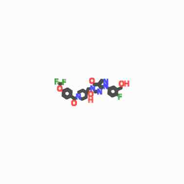 O=C(c1ccc(OC(F)F)cc1)N1CCC(O)(Cn2cnc3c(cnn3-c3ccc(F)c(CO)c3)c2=O)CC1